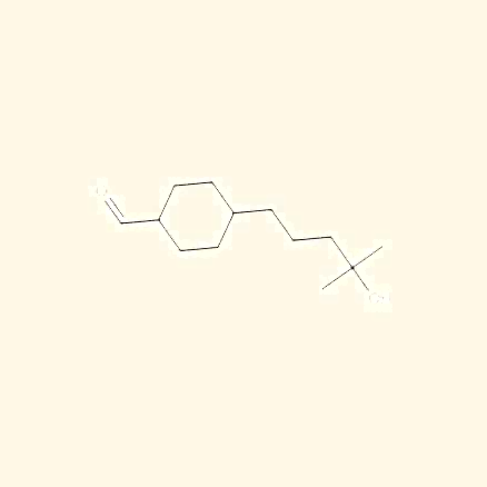 CC(C)(O)CCCC1CCC(C=O)CC1